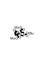 COC(=O)CC1CN(C(=O)OC(C)(C)C)CCN1c1nc(Cl)ccc1C(=O)OC